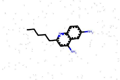 CCCCCc1cc(N)c2cc(N)ccc2n1